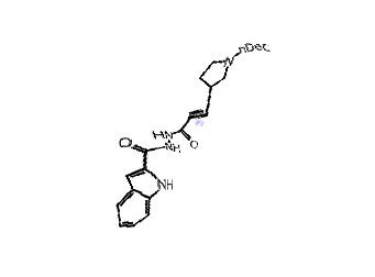 CCCCCCCCCCN1CCC(/C=C/C(=O)NNC(=O)c2cc3ccccc3[nH]2)C1